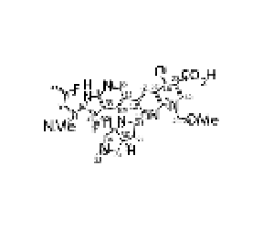 C=C(F)/C=C(/NC)c1[nH]c2ncc(-c3cnc4c(c3)c(=O)c(C(=O)O)cn4COC)c(N3CC[C@H]4CN(C)C[C@H]43)c2c1F